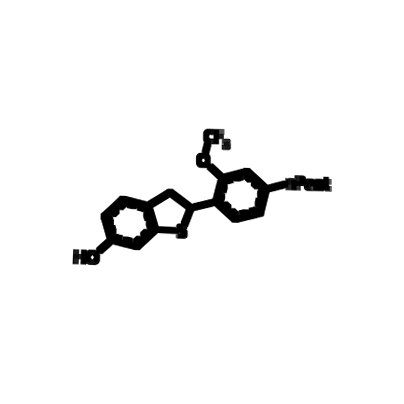 CCCCCc1ccc(C2Cc3ccc(O)cc3S2)c(OC(F)(F)F)c1